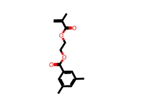 C=C(C)C(=O)OCCOC(=O)c1cc(C)cc(C)c1